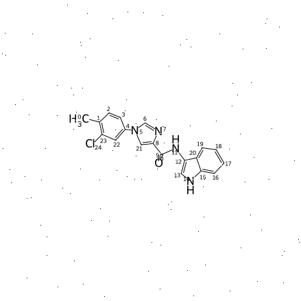 Cc1ccc(-n2cnc(C(=O)Nc3c[nH]c4ccccc34)c2)cc1Cl